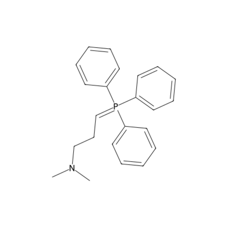 CN(C)CCC=P(c1ccccc1)(c1ccccc1)c1ccccc1